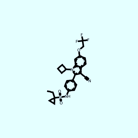 CCC1(S(=O)(=O)Nc2ccc(-c3c(C#N)c4ccc(OCC(F)(F)F)cc4n3C3CCC3)cc2)CC1